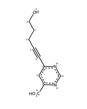 O=C(O)c1cc(C#CCCCO)ncn1